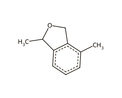 Cc1cccc2c1COC2C